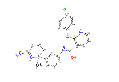 CC1(c2cccc(N[C@@H](O)c3cccnc3Oc3ccc(Cl)cc3)c2)CCSC(N)=N1